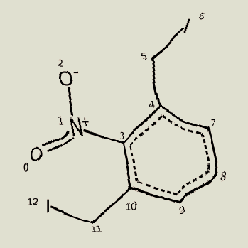 O=[N+]([O-])c1c(CI)cccc1CI